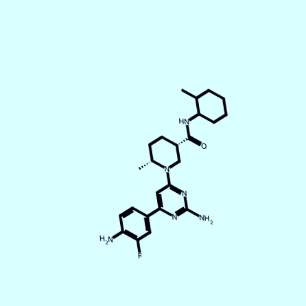 CC1CCCCC1NC(=O)[C@H]1CC[C@@H](C)N(c2cc(-c3ccc(N)c(F)c3)nc(N)n2)C1